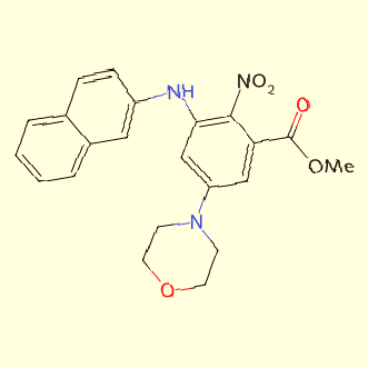 COC(=O)c1cc(N2CCOCC2)cc(Nc2ccc3ccccc3c2)c1[N+](=O)[O-]